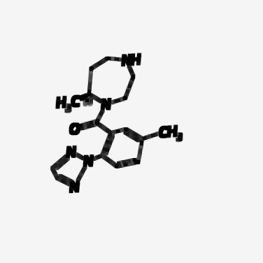 Cc1ccc(-n2nccn2)c(C(=O)N2CCNCC[C@@H]2C)c1